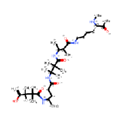 C=C(O)C(C)(C)C(C)(C)C(=O)NC(C=O)CCC(=O)NC(C)(C)C(C)(C)C(=O)NC(C)C(C)C(=O)NCCCC[C@H](NC(C)(C)C)C(=O)C(C)(C)C